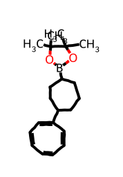 CC1(C)OB(C2CCCC(C3=C/C=C\C=C/C=C\3)CC2)OC1(C)C